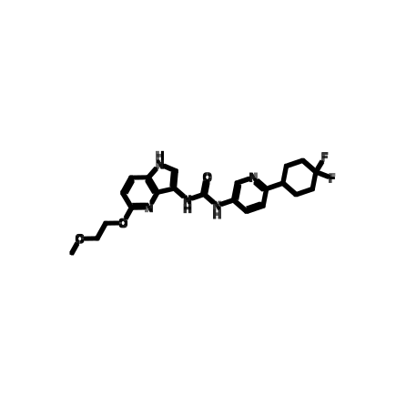 COCCOc1ccc2[nH]cc(NC(=O)Nc3ccc(C4CCC(F)(F)CC4)nc3)c2n1